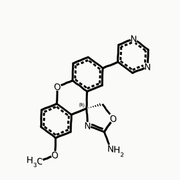 COc1ccc2c(c1)[C@@]1(COC(N)=N1)c1cc(-c3cncnc3)ccc1O2